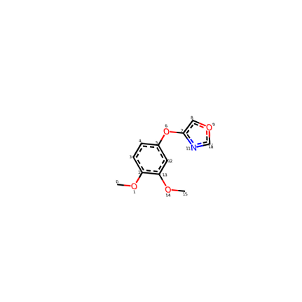 COc1ccc(Oc2co[c]n2)cc1OC